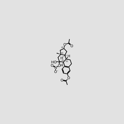 CC(=O)Oc1ccc2c(c1)CC[C@@H]1[C@@H]2[C@](O)(O[N+](=O)[O-])C[C@]2(C)C[C@@H](OC(C)=O)C[C@@H]12